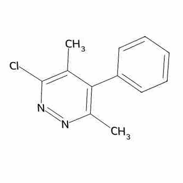 Cc1nnc(Cl)c(C)c1-c1ccccc1